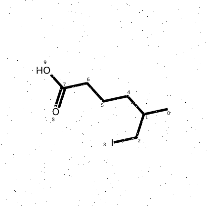 CC(CI)CCCC(=O)O